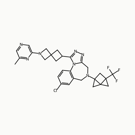 Cc1cncc(N2CC3(CC(c4nnc5n4-c4ccc(Cl)cc4CN(C46CC7(C(F)(F)F)CC47C6)C5)C3)C2)n1